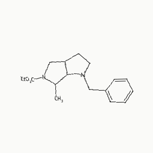 CCOC(=O)N1CC2CCN(Cc3ccccc3)C2C1C